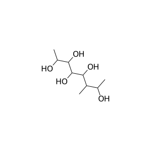 CC(O)C(C)C(O)C(O)C(O)C(C)O